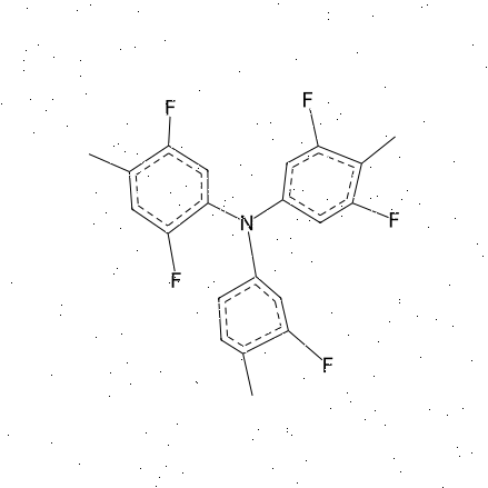 Cc1ccc(N(c2cc(F)c(C)c(F)c2)c2cc(F)c(C)cc2F)cc1F